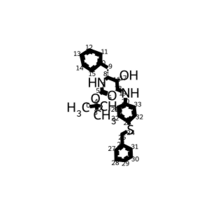 CC(C)(C)OC(=O)N[C@H](Cc1ccccc1)[C@@H](O)CNc1ccc(SCc2ccccc2)cc1